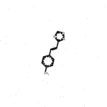 Cc1ccc(/C=C/c2ncon2)cc1